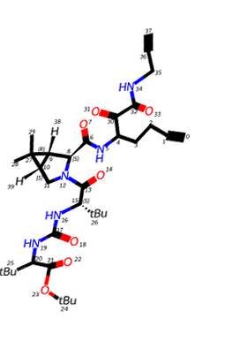 C#CCCC(NC(=O)[C@@H]1[C@@H]2[C@H](CN1C(=O)[C@@H](NC(=O)NC(C(=O)OC(C)(C)C)C(C)(C)C)C(C)(C)C)C2(C)C)C(=O)C(=O)NCC#C